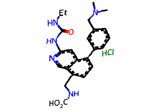 CCNC(=O)Nc1cc2c(-c3cccc(CN(C)C)c3)ccc(CNC(=O)O)c2cn1.Cl